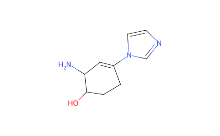 NC1C=C(n2ccnc2)CCC1O